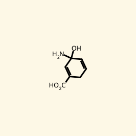 NC1(O)C=CCC(C(=O)O)=C1